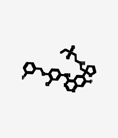 CCS(=O)(=O)CCNCC1(c2cc3c(Nc4ccc(OCc5cccc(F)c5)c(Cl)c4)ncnc3cc2F)CC=CO1